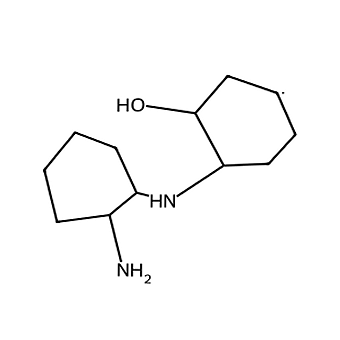 NC1CCCCC1NC1CC[CH]CC1O